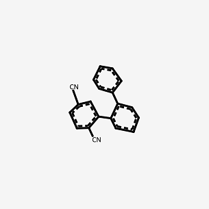 N#Cc1ccc(C#N)c(-c2ccccc2-c2ccccc2)c1